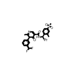 CC1=NC=C(C(=O)NC(c2ccc(S(C)(=O)=O)cc2C)C(C)C)C(=O)C1c1cccc(C(F)F)c1